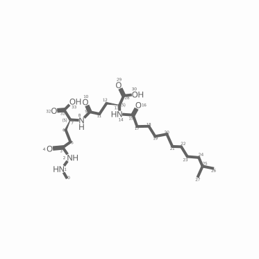 CNNC(=O)CC[C@H](NC(=O)CC[C@H](NC(=O)CCCCCCCCC(C)C)C(=O)O)C(=O)O